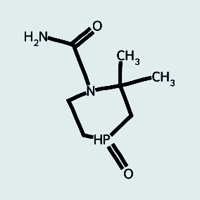 CC1(C)C[PH](=O)CCN1C(N)=O